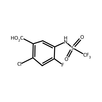 O=C(O)c1cc(NS(=O)(=O)C(F)(F)F)c(F)cc1Cl